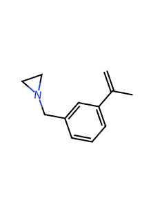 C=C(C)c1cccc(CN2CC2)c1